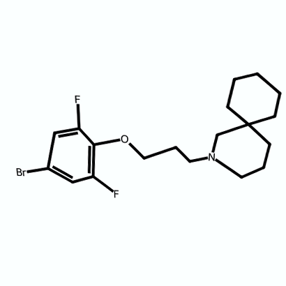 Fc1cc(Br)cc(F)c1OCCCN1CCCC2(CCCCC2)C1